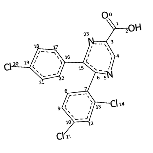 O=C(O)c1cnc(-c2ccc(Cl)cc2Cl)c(-c2ccc(Cl)cc2)n1